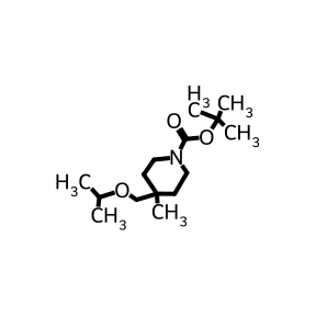 CC(C)OCC1(C)CCN(C(=O)OC(C)(C)C)CC1